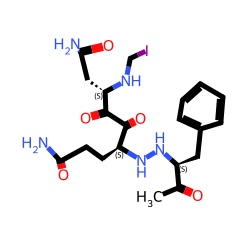 CC(=O)[C@H](Cc1ccccc1)NN[C@@H](CCC(N)=O)C(=O)C(=O)[C@H](CC(N)=O)NCI